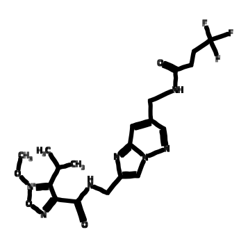 CO[n+]1onc(C(=O)NCc2cn3ncc(CNC(=O)CCC(F)(F)F)cc3n2)c1C(C)C